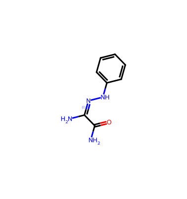 NC(=O)/C(N)=N\Nc1ccccc1